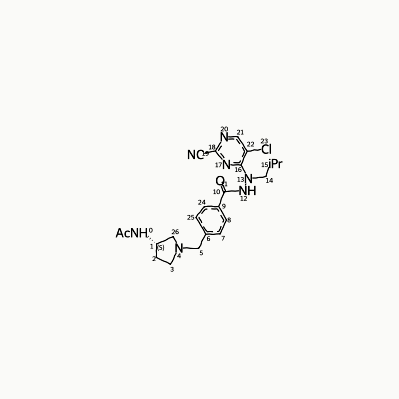 CC(=O)N[C@H]1CCN(Cc2ccc(C(=O)NN(CC(C)C)c3nc(C#N)ncc3Cl)cc2)C1